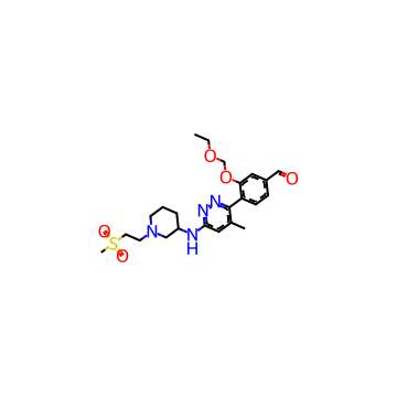 CCOCOc1cc(C=O)ccc1-c1nnc(NC2CCCN(CCS(C)(=O)=O)C2)cc1C